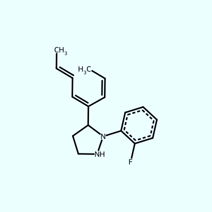 CC=C/C=C(\C=C/C)C1CCNN1c1ccccc1F